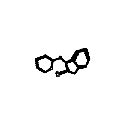 ClC1Cc2ccccc2C1OC1CCCCO1